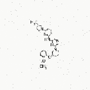 CCOc1ccccc1O[C@@H]1CCCN(c2cncc(Nc3cccc(N4CCC(C)C4)n3)n2)C1